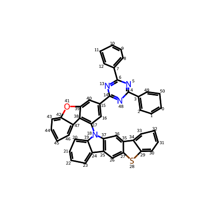 c1ccc(-c2nc(-c3ccccc3)nc(-c3cc(-n4c5ccccc5c5cc6sc7ccccc7c6cc54)c4c(c3)oc3ccccc34)n2)cc1